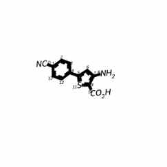 N#Cc1ccc(-c2cc(N)c(C(=O)O)s2)cc1